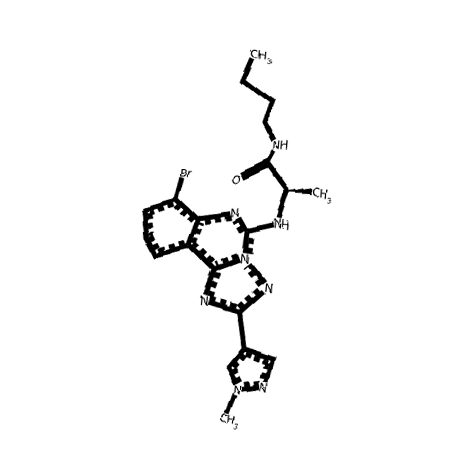 CCCCNC(=O)[C@@H](C)Nc1nc2c(Br)cccc2c2nc(-c3cnn(C)c3)nn12